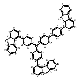 c1ccc2c(c1)oc1c(-c3ccc(-c4ccc(N(c5ccc(-c6cccc7oc8ccccc8c67)cc5)c5ccc(-c6cccc7oc8ccccc8c67)cc5)cc4)cc3)cccc12